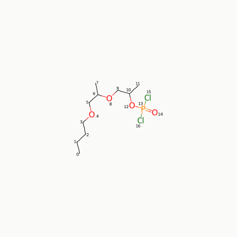 CCCCOCC(C)OCC(C)OP(=O)(Cl)Cl